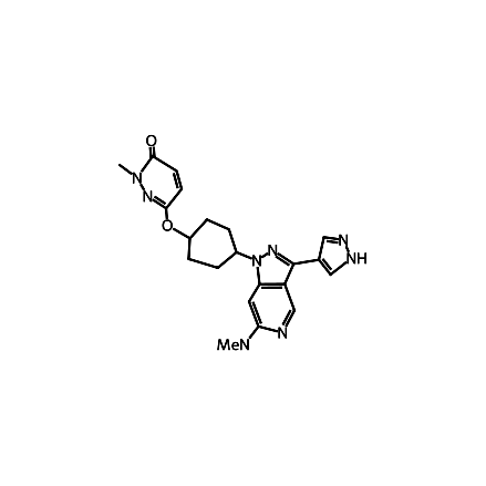 CNc1cc2c(cn1)c(-c1cn[nH]c1)nn2C1CCC(Oc2ccc(=O)n(C)n2)CC1